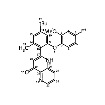 COc1cc(F)ccc1Oc1cc(C(C)(C)C)cc(C)c1-c1cc(=O)c2ncccc2[nH]1